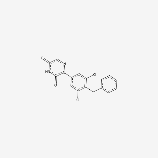 O=c1cnn(-c2cc(Cl)c(Cc3ccccc3)c(Cl)c2)c(=O)[nH]1